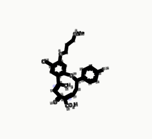 COCCCOc1cc2c(cc1Cl)/C(C)=C/C(=O)/C(C(=O)O)=C\CC(c1ccc(F)cc1)O2